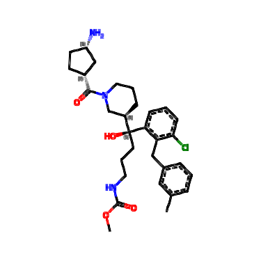 COC(=O)NCCC[C@@](O)(c1cccc(Cl)c1Cc1cccc(C)c1)[C@@H]1CCCN(C(=O)[C@@H]2CC[C@H](N)C2)C1